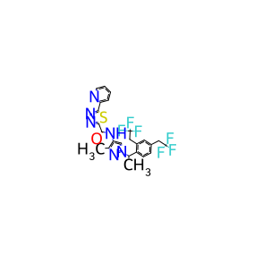 Cc1nn(C(C)c2ccc(CC(F)(F)F)cc2CC(F)(F)F)cc1NC(=O)c1nnc(-c2ccccn2)s1